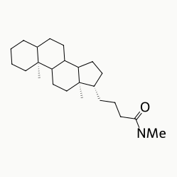 CNC(=O)CCC[C@H]1CCC2C3CCC4CCCC[C@]4(C)C3CC[C@@]21C